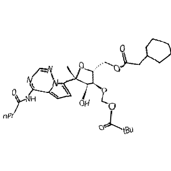 CCCC(=O)Nc1ncnn2c([C@]3(C)O[C@H](COC(=O)CC4CCCCC4)[C@@H](OCOC(=O)C(C)(C)C)[C@H]3O)ccc12